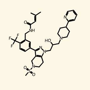 CC(C)=CC(=O)NCc1cc(-c2nn(CC(O)CN3CCC(c4ccccn4)CC3)c3c2CN(S(C)(=O)=O)CC3)ccc1C(F)(F)F